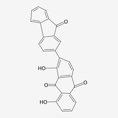 O=C1c2ccccc2-c2ccc(-c3ccc4c(c3O)C(=O)c3c(O)cccc3C4=O)cc21